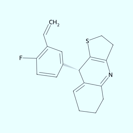 C=Cc1cc([C@H]2C3=CCCCC3=NC3=C2SCC3)ccc1F